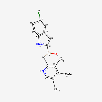 COc1c(C)cnc(C[S+]([O-])c2cc3cc(F)ccc3[nH]2)c1C